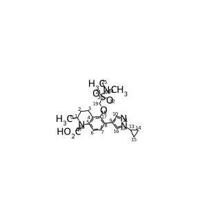 C[C@H]1CCc2c(ccc(-c3cnn(C4CC4)c3)c2OCS(=O)(=O)N(C)C)N1C(=O)O